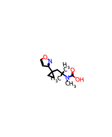 CN(C(=O)O)C(C)(C)CC1(c2ccon2)CC1